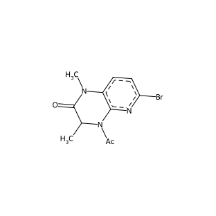 CC(=O)N1c2nc(Br)ccc2N(C)C(=O)C1C